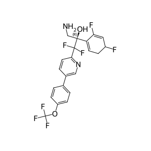 NC[C@](O)(C1=CCC(F)C=C1F)C(F)(F)c1ccc(-c2ccc(OC(F)(F)F)cc2)cn1